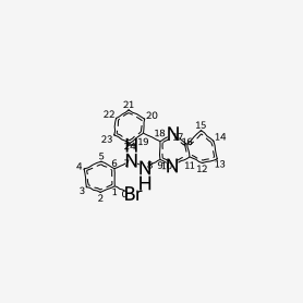 Brc1ccccc1NNc1nc2ccccc2nc1-c1ccccc1